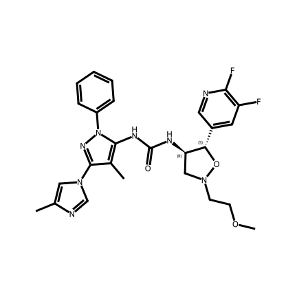 COCCN1C[C@@H](NC(=O)Nc2c(C)c(-n3cnc(C)c3)nn2-c2ccccc2)[C@H](c2cnc(F)c(F)c2)O1